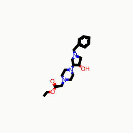 CCOC(=O)CN1CCN(C2CN(Cc3ccccc3)CC2O)CC1